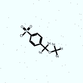 [2H]C([2H])([2H])OC([2H])([2H])c1ccc(S(=O)(=O)Cl)cc1